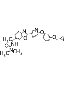 CC(NC(=O)N(C)C)c1ccc2nc(-c3ccc(Oc4cccc(OCC5CC5)c4)nc3)oc2c1